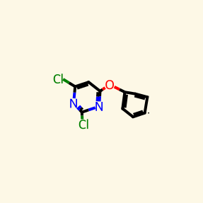 Clc1cc(Oc2cc[c]cc2)nc(Cl)n1